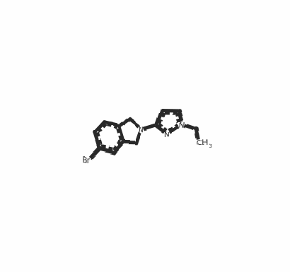 CCn1ccc(N2Cc3ccc(Br)cc3C2)n1